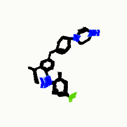 C=C(C)c1cc(CC2=CC=C(N3CCNCC3)CC2)ccc1Nc1ccc(F)cc1C